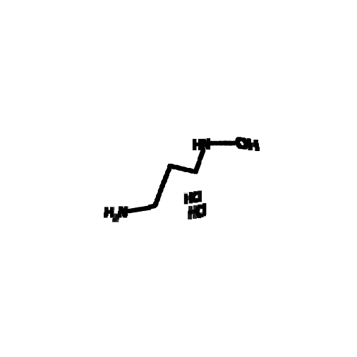 Cl.Cl.NCCCNO